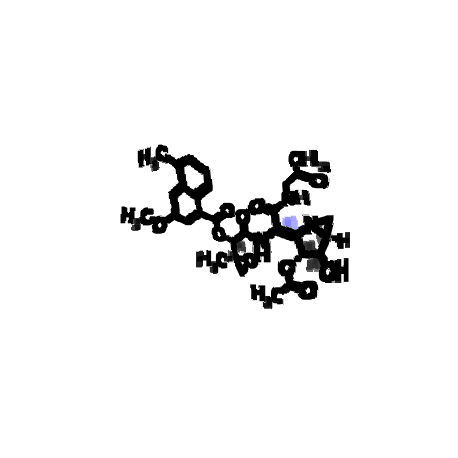 COc1cc(C(=O)O[C@H](C(=O)N/C(C(=O)NCC(C)=O)=C2\[C@@H](OC(C)=O)[C@H](O)[C@@H]3CN23)[C@]2(C)CO2)c2cccc(C)c2c1